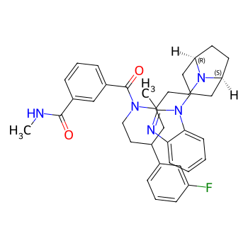 CNC(=O)c1cccc(C(=O)N2CCC(c3cccc(F)c3)CC2CCN2[C@@H]3CC[C@H]2CC(n2c(C)nc4ccccc42)C3)c1